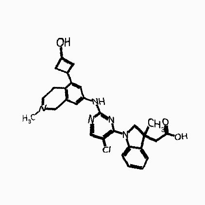 CN1CCc2c(cc(Nc3ncc(Cl)c(N4CC(C)(CC(=O)O)c5ccccc54)n3)cc2C2CC(O)C2)C1